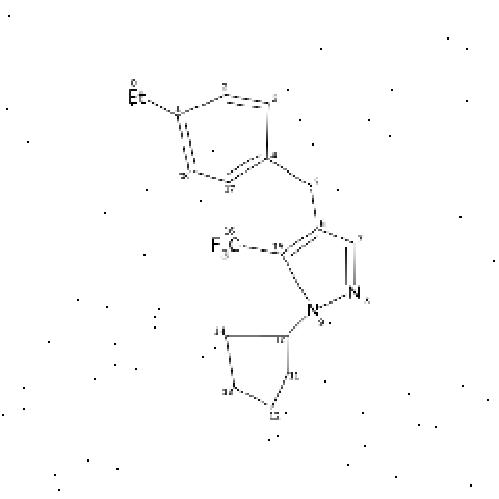 CCc1ccc(Cc2cnn(C3CCCC3)c2C(F)(F)F)cc1